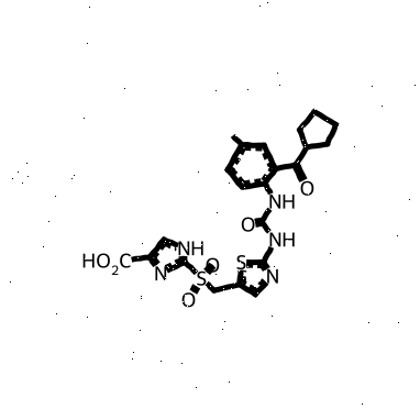 Cc1ccc(NC(=O)Nc2ncc(CS(=O)(=O)c3nc(C(=O)O)c[nH]3)s2)c(C(=O)C2CCCC2)c1